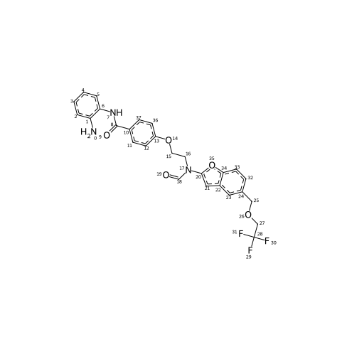 Nc1ccccc1NC(=O)c1ccc(OCCN(C=O)c2cc3cc(COCC(F)(F)F)ccc3o2)cc1